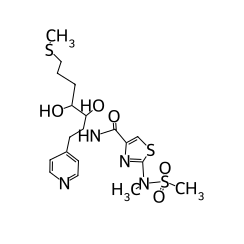 CSCCCC(O)C(O)C(Cc1ccncc1)NC(=O)c1csc(N(C)S(C)(=O)=O)n1